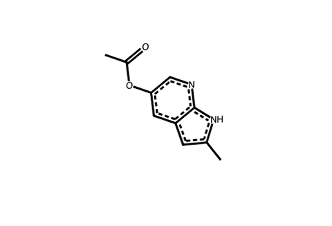 CC(=O)Oc1cnc2[nH]c(C)cc2c1